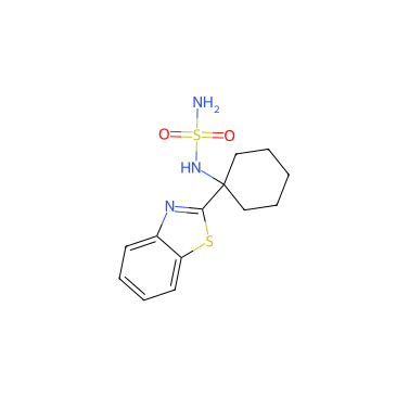 NS(=O)(=O)NC1(c2nc3ccccc3s2)CCCCC1